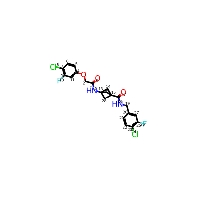 O=C(COc1ccc(Cl)c(F)c1)NC12CC(C(=O)NCc3ccc(Cl)c(F)c3)(C1)C2